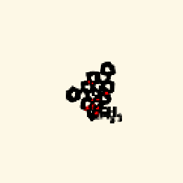 CC1(C)c2ccccc2-c2c(-c3c(-c4ccccc4)cccc3N(c3ccc4ccccc4c3)c3cccc(-c4ccccc4)c3-c3ccccc3)cccc21